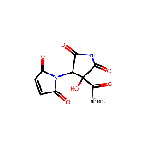 CCCCCC(=O)C1(O)C(=O)NC(=O)C1N1C(=O)C=CC1=O